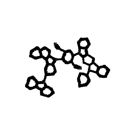 N#Cc1cc(-n2c3ccc(-n4c5ccccc5c5ccccc54)cc3c3c4ccccc4ccc32)c(C#N)cc1-n1c2c(c3ccccc31)C=C1c3ccccc3N(c3ccccc3)C1C2